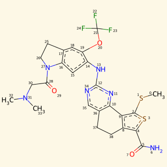 CSc1sc(C(N)=O)c2c1-c1nc(Nc3cc4c(cc3OC(F)(F)F)CCN4C(=O)CN(C)C)ncc1CC2